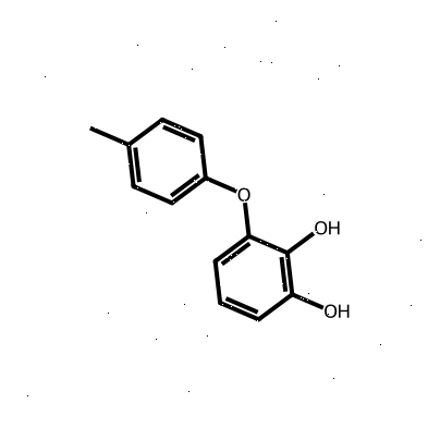 Cc1ccc(Oc2cccc(O)c2O)cc1